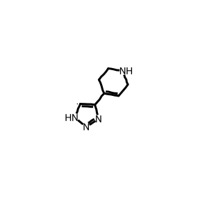 [c]1[nH]nnc1C1=CCNCC1